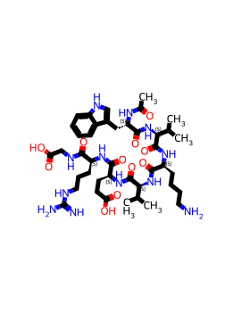 CC(=O)N[C@@H](Cc1c[nH]c2ccccc12)C(=O)N[C@H](C(=O)N[C@@H](CCCCN)C(=O)N[C@H](C(=O)N[C@@H](CCC(=O)O)C(=O)N[C@@H](CCCNC(=N)N)C(=O)NCC(=O)O)C(C)C)C(C)C